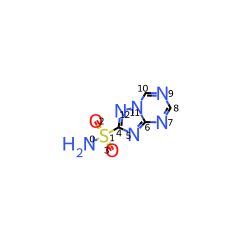 NS(=O)(=O)c1nc2ncncn2n1